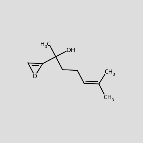 CC(C)=CCCC(C)(O)C1=CO1